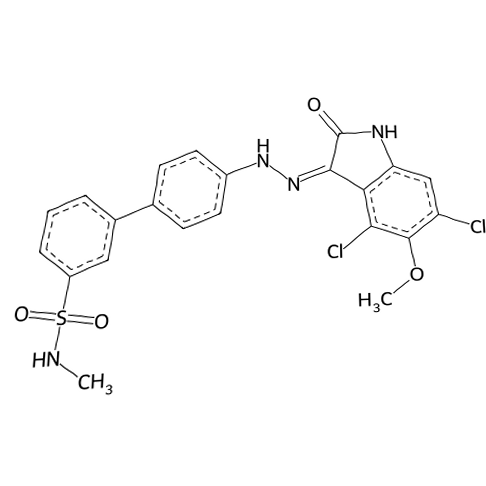 CNS(=O)(=O)c1cccc(-c2ccc(NN=C3C(=O)Nc4cc(Cl)c(OC)c(Cl)c43)cc2)c1